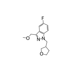 COCc1nn(CC2CCOC2)c2ccc(F)cc12